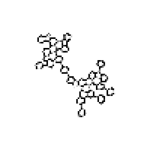 c1ccc(-c2ccc(N3B4c5cc(-c6ccccc6)cc6c5C(Cc5ccc(-c7ccccc7)cc5-6)c5c4c(cc4c5oc5ccc(-c6ccc(-c7ccc(N8B9c%10c(cc%11oc%12ccccc%12c%11c%10-c%10ccc%11c(c%108)c8cccc%10c%12ccccc%12n%11c%108)-n8c%10ccccc%10c%10cccc9c%108)cc7)cc6)cc54)-c4ccc5c(c43)c3ccccc3n5-c3ccccc3)cc2)cc1